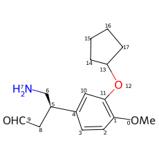 COc1ccc([C@H](CN)CC=O)cc1OC1CCCC1